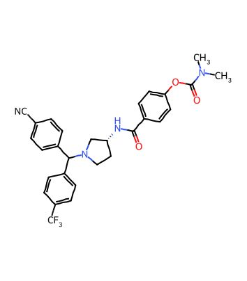 CN(C)C(=O)Oc1ccc(C(=O)N[C@@H]2CCN(C(c3ccc(C#N)cc3)c3ccc(C(F)(F)F)cc3)C2)cc1